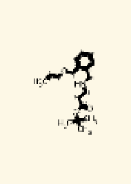 C=CCOCc1ccccc1CNCCC(=O)OC(C)(C)C